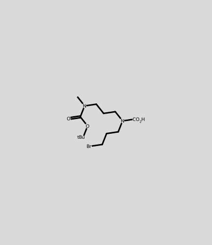 CN(CCCN(CCCBr)C(=O)O)C(=O)OC(C)(C)C